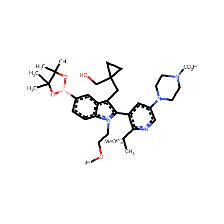 CO[C@@H](C)c1ncc(N2CCN(C(=O)O)CC2)cc1-c1c(CC2(CO)CC2)c2cc(B3OC(C)(C)C(C)(C)O3)ccc2n1CCOC(C)C